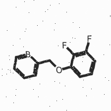 Fc1cccc(OCc2bcccc2)c1F